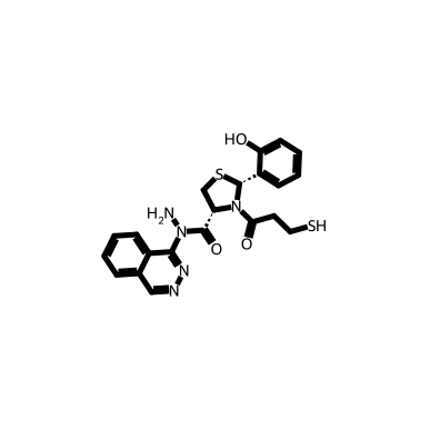 NN(C(=O)[C@@H]1CS[C@H](c2ccccc2O)N1C(=O)CCS)c1nncc2ccccc12